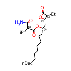 CCCCCCCCCCCCCCCCC[C@@H](C[C@@H]1OC(=O)[C@H]1CC)OC(=O)[C@H](C(N)=O)C(C)C